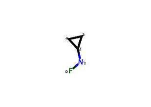 F[N]C1CC1